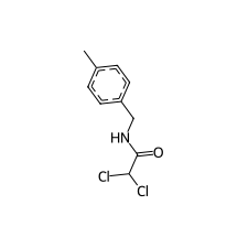 Cc1ccc(CNC(=O)C(Cl)Cl)cc1